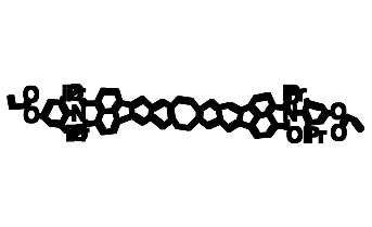 C=CC(=O)Oc1cc(C(C)C)c(N2C(=O)c3ccc4c5c(ccc(c35)C2=O)-c2cc3cc5c(cc3cc2-4)/C=C\c2cc3cc4c(cc3cc2CC5)-c2ccc3c5c(ccc-4c25)C(=O)N(c2c(C(C)C)cc(OC(=O)C=C)cc2C(C)C)C3=O)c(C(C)C)c1